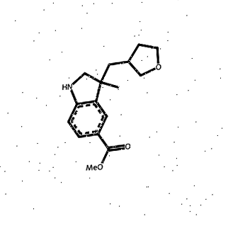 COC(=O)c1ccc2c(c1)C(C)(CC1CCOC1)CN2